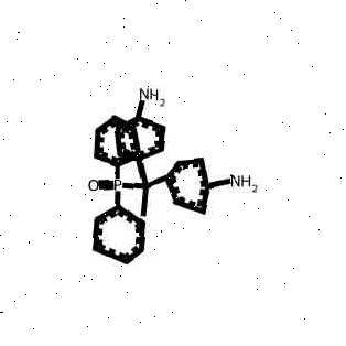 CC(c1ccc(N)cc1)(c1ccc(N)cc1)P(=O)(c1ccccc1)c1ccccc1